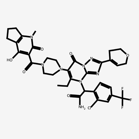 CCc1c(N2CCN(C(=O)c3c(O)c4c(n(C)c3=O)CCC4)CC2)c(=O)n2nc(C3=CCOCC3)nc2n1C(C(N)=O)c1ccc(C(F)(F)F)cc1Cl